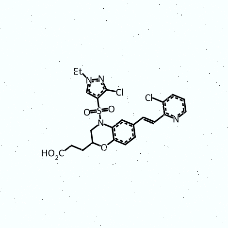 CCn1cc(S(=O)(=O)N2CC(CCC(=O)O)Oc3ccc(C=Cc4ncccc4Cl)cc32)c(Cl)n1